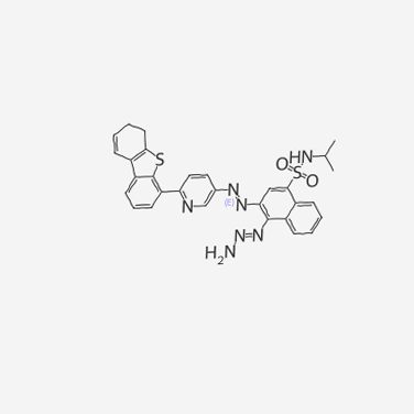 CC(C)NS(=O)(=O)c1cc(/N=N/c2ccc(-c3cccc4c5c(sc34)CCC=C5)nc2)c(N=NN)c2ccccc12